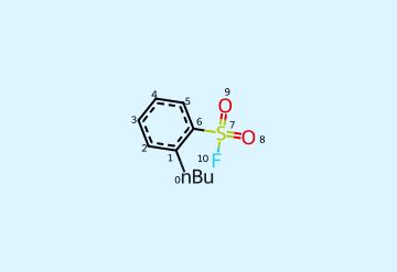 CCCCc1ccccc1S(=O)(=O)F